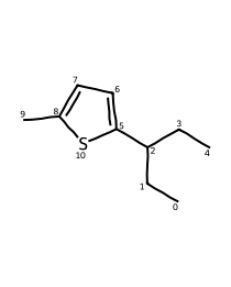 CCC(CC)c1ccc(C)s1